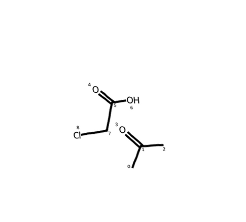 CC(C)=O.O=C(O)CCl